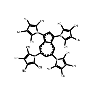 N#CC1=C(C#N)C(C#N)=C(C#N)B1c1cc(B2C(C#N)=C(C#N)C(C#N)=C2C#N)cc2c(B3C(C#N)=C(C#N)C(C#N)=C3C#N)cc(B3C(C#N)=C(C#N)C(C#N)=C3C#N)c-2c1